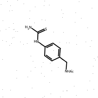 CC(=O)NCc1ccc(NC(N)=S)cc1